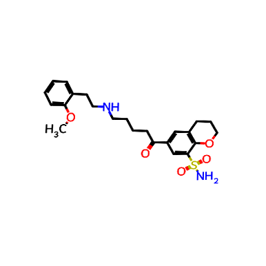 COc1ccccc1CCNCCCCC(=O)c1cc2c(c(S(N)(=O)=O)c1)OCCC2